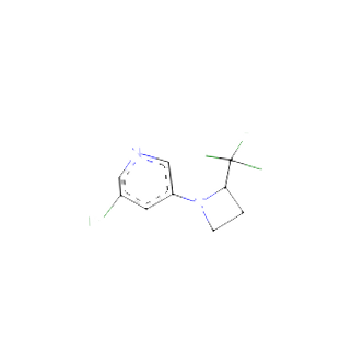 FC(F)(F)C1CCN1c1cncc(Br)c1